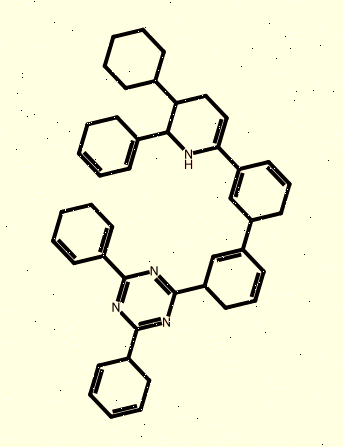 C1=CCCC(C2NC(C3=CC(C4=CC(c5nc(C6=CCCC=C6)nc(C6C=CC=CC6)n5)CC=C4)CC=C3)=CCC2C2CCCCC2)=C1